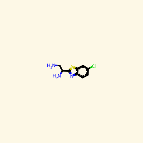 NCC(N)c1nc2ccc(Cl)cc2s1